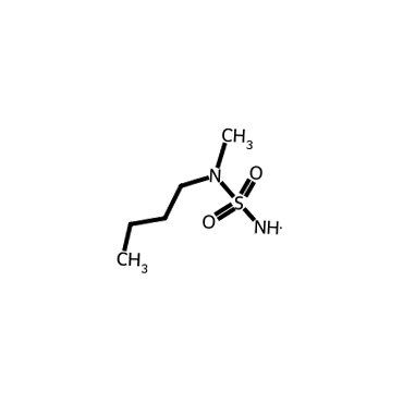 CCCCN(C)S([NH])(=O)=O